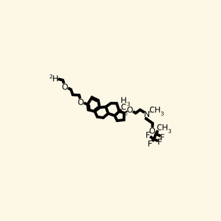 [2H]COCCCOc1ccc2c(c1)CCC1C2CC[C@@]2(C)C1CC[C@@H]2OCCN(C)CCOC(C)(F)C(F)(F)F